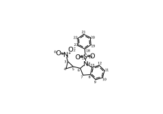 O=[N+]([O-])C1CC1C1Cc2ccccc2N1S(=O)(=O)c1ccccc1